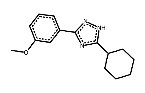 COc1cccc(-c2n[nH]c(C3CCCCC3)n2)c1